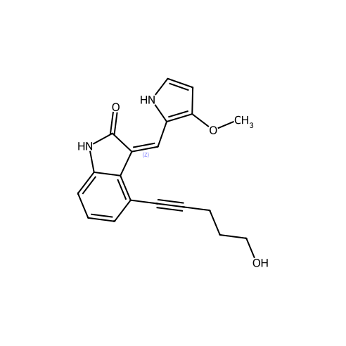 COc1cc[nH]c1/C=C1\C(=O)Nc2cccc(C#CCCCO)c21